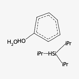 CC(C)[SiH](C(C)C)C(C)C.O.Oc1ccccc1